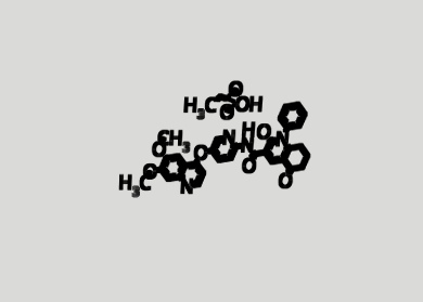 CCS(=O)(=O)O.COc1cc2nccc(Oc3ccc(NC(=O)c4cc5c(n(-c6ccccc6)c4=O)CCCC5=O)nc3)c2cc1OC